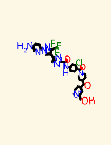 Cn1c(-c2cn(-c3ccc(N)cn3)nc2C(F)(F)F)cnc1C(=O)Nc1ccc(C(=O)N2CCC(C(=O)C3CC[N+](C)(C)C(CO)C3)CC2)c(Cl)c1